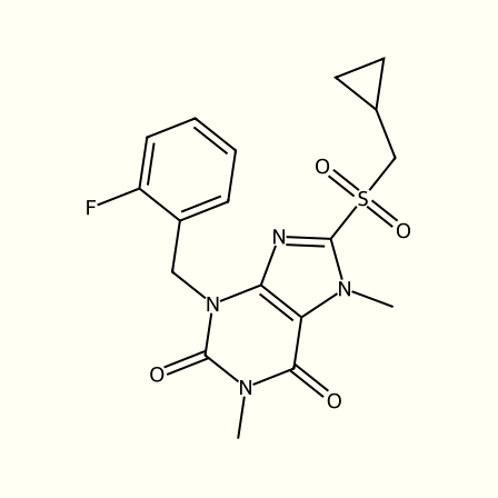 Cn1c(=O)c2c(nc(S(=O)(=O)CC3CC3)n2C)n(Cc2ccccc2F)c1=O